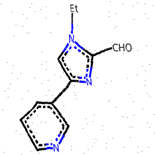 CCn1cc(-c2cccnc2)nc1C=O